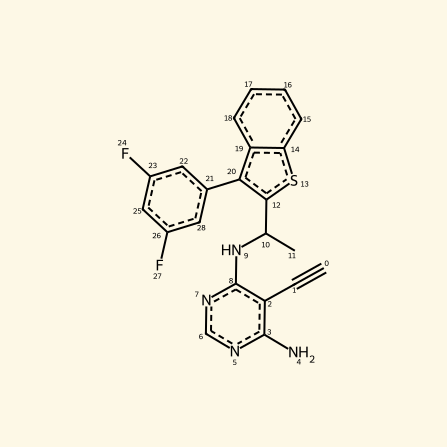 C#Cc1c(N)ncnc1NC(C)c1sc2ccccc2c1-c1cc(F)cc(F)c1